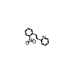 O=[N+]([O-])c1ccccc1C=Cc1ccccn1